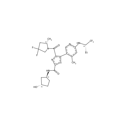 CC[C@H](Nc1cc(C)c(-c2sc(C(=O)N[C@H]3CC[C@H](O)C3)nc2C(=O)N2CC(F)(F)C[C@@H]2C)cn1)C(F)(F)F